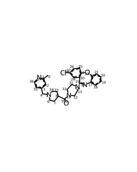 Cc1cc(CN2CCC(C(=O)N3CCN(C4=Nc5ccccc5Oc5ccc(Cl)cc54)CC3)CC2)ccn1